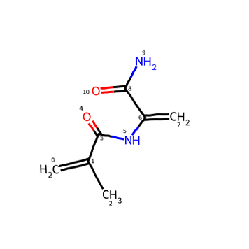 C=C(C)C(=O)NC(=C)C(N)=O